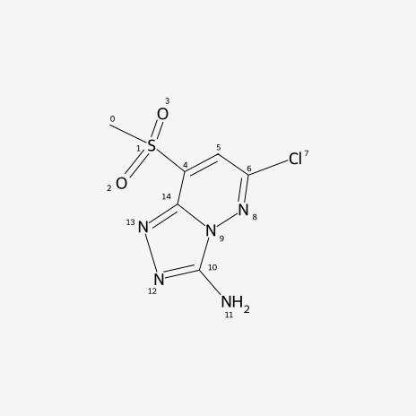 CS(=O)(=O)c1cc(Cl)nn2c(N)nnc12